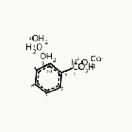 O.O.O.O.O=C(O)c1ccccc1.[Co]